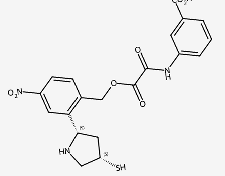 O=C(Nc1cccc(C(=O)O)c1)C(=O)OCc1ccc([N+](=O)[O-])cc1[C@@H]1C[C@H](S)CN1